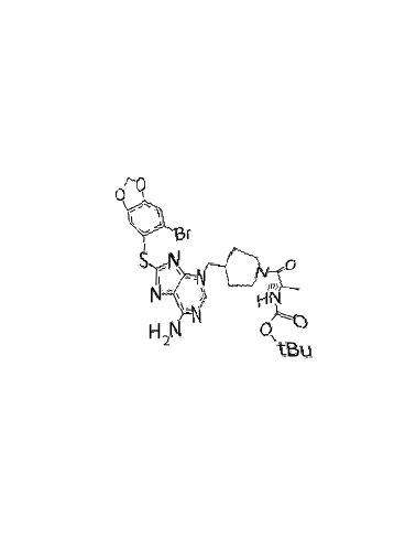 C[C@@H](NC(=O)OC(C)(C)C)C(=O)N1CCC(Cn2cnc(N)c3nc(Sc4cc5c(cc4Br)OCO5)nc2-3)CC1